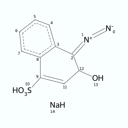 [N-]=[N+]=C1c2ccccc2C(S(=O)(=O)O)=CC1O.[NaH]